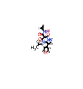 CC(C)Cn1c(=O)c(C(=O)NC2CC2)c(O)n2ncc(C3=CCOCC3)c12